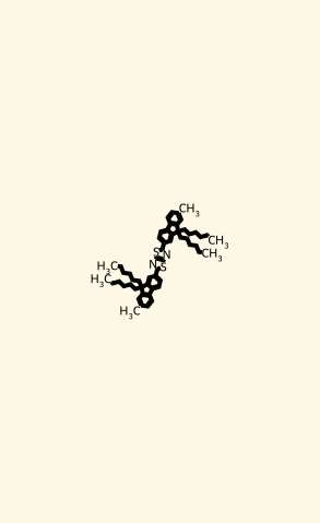 CCCCCCC1(CCCCCC)c2cc(C)ccc2-c2ccc(-c3nc4sc(-c5ccc6c(c5)C(CCCCCC)(CCCCCC)c5cc(C)ccc5-6)nc4s3)cc21